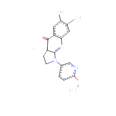 COc1ccc(N2CC[C@@]3(O)C(=O)c4cc(C)c(C)cc4N=C23)cn1